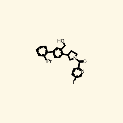 CC(C)c1ccccc1-c1ccc(C2CCN(C(=O)c3ccc(F)cn3)C2)c(CO)c1